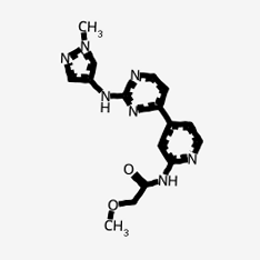 COCC(=O)Nc1cc(-c2ccnc(Nc3cnn(C)c3)n2)ccn1